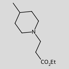 CCOC(=O)CCN1CCC(C)CC1